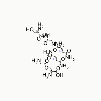 NC(=O)/C=C/C(N)=O.NC(=O)/C=C/C(N)=O.NCC(=O)O.NCC(=O)OC[C@H](N)C(=O)O.N[C@@H](CO)C(=O)O